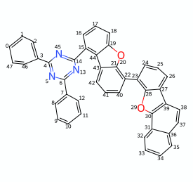 c1ccc(-c2nc(-c3ccccc3)nc(-c3cccc4oc5c(-c6cccc7c6oc6c8ccccc8ccc76)cccc5c34)n2)cc1